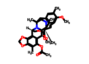 COc1c(C)cc2c3c1/C=C/[C@@H](C)C(=O)OC[C@H]1c4c5c(c(C)c(OC(C)=O)c4[C@@H](OC)C4C3N(C)CC(C)(C2)N41)OCO5